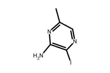 Cc1cnc(I)c(N)n1